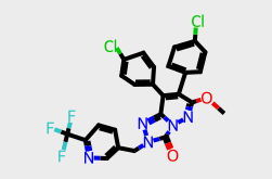 COc1nn2c(=O)n(Cc3ccc(C(F)(F)F)nc3)nc2c(-c2ccc(Cl)cc2)c1-c1ccc(Cl)cc1